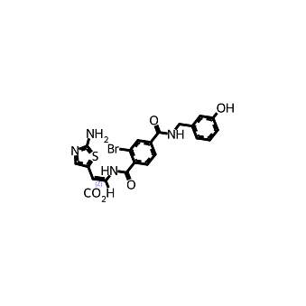 Nc1ncc(/C=C(\NC(=O)c2ccc(C(=O)NCc3cccc(O)c3)cc2Br)C(=O)O)s1